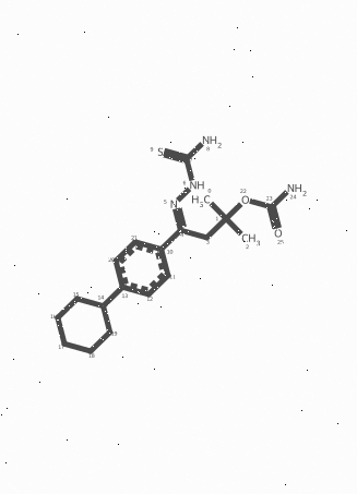 CC(C)(CC(=NNC(N)=S)c1ccc(C2CCCCC2)cc1)OC(N)=O